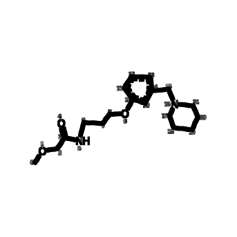 COCC(=O)NCCCOc1cccc(CN2CCCCC2)c1